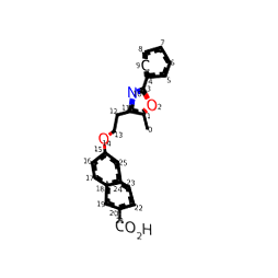 Cc1oc(-c2ccccc2)nc1CCOc1ccc2cc(C(=O)O)ccc2c1